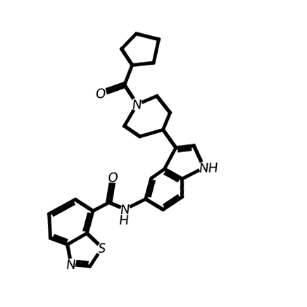 O=C(Nc1ccc2[nH]cc(C3CCN(C(=O)C4CCCC4)CC3)c2c1)c1cccc2ncsc12